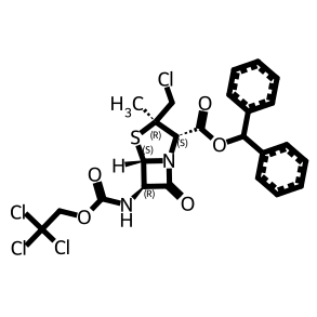 C[C@@]1(CCl)S[C@H]2[C@H](NC(=O)OCC(Cl)(Cl)Cl)C(=O)N2[C@H]1C(=O)OC(c1ccccc1)c1ccccc1